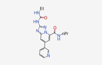 CCCNC(=O)c1cc(-c2cccnc2)cc2nc(NC(=O)NCC)nn12